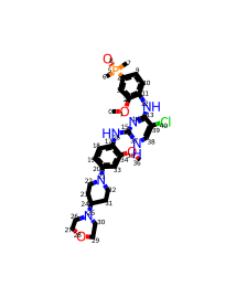 COc1cc(P(C)(C)=O)ccc1NC1=NC(Nc2ccc(N3CCC(N4CCOCC4)CC3)cc2OC)NC=C1Cl